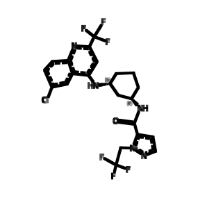 O=C(N[C@@H]1CCC[C@H](Nc2cc(C(F)(F)F)nc3ccc(Cl)cc23)C1)c1ccnn1CC(F)(F)F